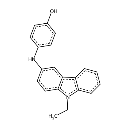 CCn1c2ccccc2c2cc(Nc3ccc(O)cc3)ccc21